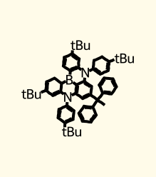 CC(C)(C)C1=CCC2B3c4ccc(C(C)(C)C)cc4N(C4=CC=C(C(C)(C)C)CC4)c4cc(C(C)(c5ccccc5)c5ccccc5)cc(c43)N(c3ccc(C(C)(C)C)cc3)C2=C1